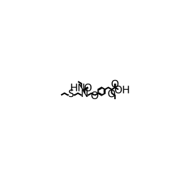 CCCSCCCN(CCOc1ccc(CC(OCC)C(=O)O)cc1)C(=O)NCC